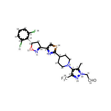 Cc1c(N2CCC(c3nc(C4=NO[C@H](c5c(F)cccc5F)C4)cs3)CC2)c(C(F)(F)F)nn1CC=O